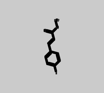 CCCOC(=O)/C=C/c1ccc(I)cc1